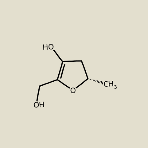 C[C@H]1CC(O)=C(CO)O1